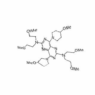 COCCN(CCOC)c1nc(N2CC[C@H](OC)C2)c2nc(N(CCOC)CCOC)nc(N3CCC(OC)CC3)c2n1